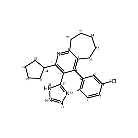 Clc1cccc(-c2c3c(nc(C4CCCC4)c2-c2nnn[nH]2)CCCCC3)c1